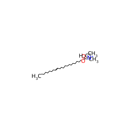 CCCCCCCCC=CCCCCCCCCCCCCOC(=O)C[N+](C)(C)CC